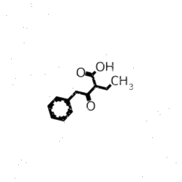 CCC(C(=O)O)C(=O)Cc1ccccc1